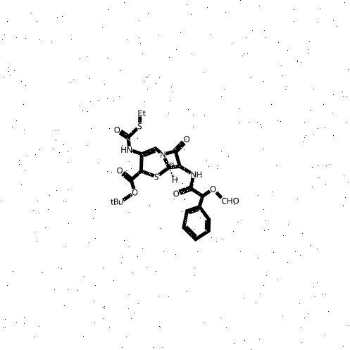 CCSC(=O)NC1=CN2C(=O)C(NC(=O)C(OC=O)c3ccccc3)[C@H]2SC1C(=O)OC(C)(C)C